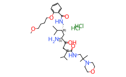 COCCCCOc1ccccc1C(=O)NC[C@H](C[C@H](N)[C@@H](O)C[C@@H](C(=O)NCC(C)(C)N1CCOCC1)C(C)C)C(C)C.Cl.Cl